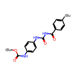 CC(C)(C)OC(=O)Nc1ccc(NC(=O)NC(=O)c2ccc(C(C)(C)C)cc2)cc1